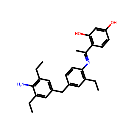 CCc1cc(Cc2cc(CC)c(N)c(CC)c2)ccc1/N=C(\C)c1ccc(O)cc1O